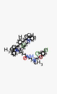 CN(CCCNC(=O)CCCCC[N+]1=C(/C=C/C2=C(Cl)C(=C/C=C3\N(CCCCCC(=O)O)c4ccccc4C3(C)C)/CCC2)C(C)(C)c2ccccc21)CCCOc1ccc(Cl)cc1Cl